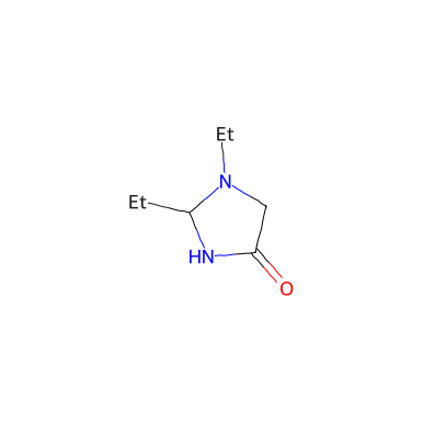 CCC1NC(=O)CN1CC